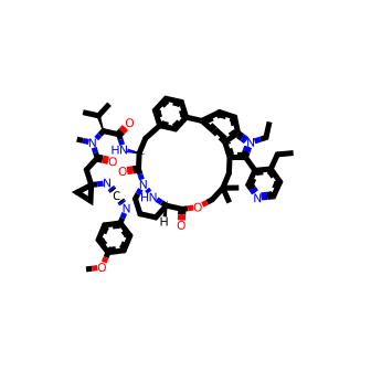 CCc1ccncc1-c1c2c3cc(ccc3n1CC)-c1cccc(c1)C[C@H](NC(=O)[C@H](C(C)C)N(C)C(=O)CC1(N=C=Nc3ccc(OC)cc3)CC1)C(=O)N1CCC[C@H](N1)C(=O)OCC(C)(C)C2